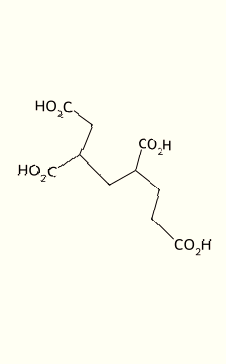 O=C(O)CCC(CC(CC(=O)O)C(=O)O)C(=O)O